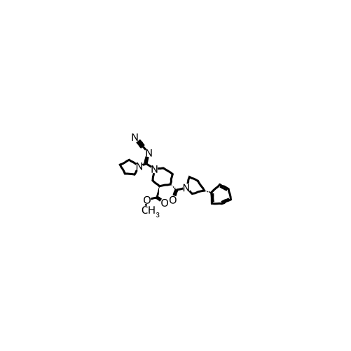 COC(=O)[C@H]1CN(/C(=N/C#N)N2CCCC2)CC[C@@H]1C(=O)N1CC[C@H](c2ccccc2)C1